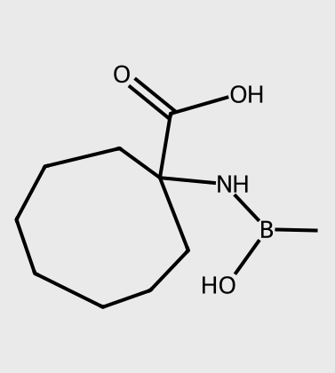 CB(O)NC1(C(=O)O)CCCCCCC1